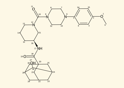 COc1ccc(N2CCN(C(=O)N3CCC[C@H](NC(=O)C45CC6CC(C4)C(O)C(C6)C5)C3)CC2)cc1